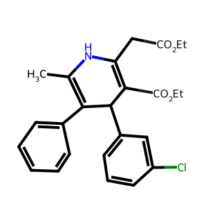 CCOC(=O)CC1=C(C(=O)OCC)C(c2cccc(Cl)c2)C(c2ccccc2)=C(C)N1